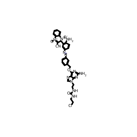 N#Cc1c(-c2cc(/N=N/c3cccc(COc4nc(N)nc5c4ncn5CCNC(=O)NCCCl)c3)ccc2N)[n+]([O-])c2ccccc2[n+]1[O-]